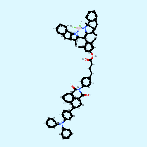 CC1=C2Cc3ccccc3C2(C)N2C1=C(c1c(C)cc(OC(=O)CCCc3ccc(N4C(=O)c5cccc6c(-c7ccc(N(c8ccccc8)c8ccccc8)cc7)ccc(c56)C4=O)cc3)cc1C)c1c(C)c3c(n1[B-]2(F)F)-c1ccccc1C3